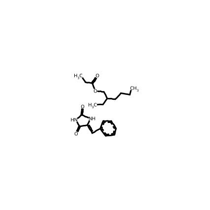 CCCCC(CC)COC(=O)CC.O=C1NC(=O)C(=Cc2ccccc2)N1